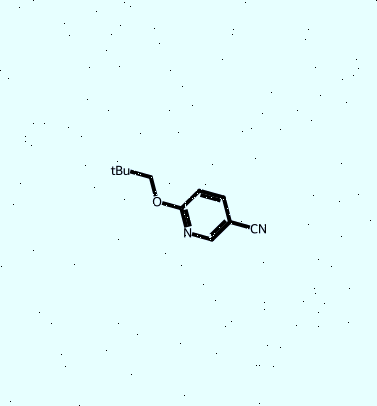 CC(C)(C)COc1ccc(C#N)cn1